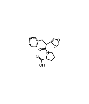 O=C(O)[C@@H]1CCCN1C(=O)C(Cc1ccccc1)C1=COCO1